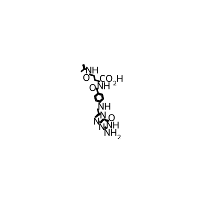 C=C(C)NC(=O)CCC(NC(=O)c1ccc(NCc2cnc3nc(N)[nH]c(=O)c3n2)cc1)C(=O)O